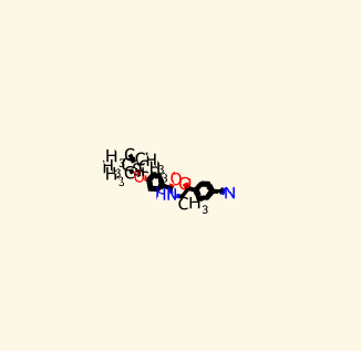 C[C@H](NC(=O)c1ccc(O[Si](C)(C)C(C)(C)C)cc1)C(=O)c1ccc(C#N)cc1